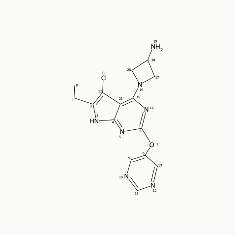 CCc1[nH]c2nc(Oc3cncnc3)nc(N3CC(N)C3)c2c1Cl